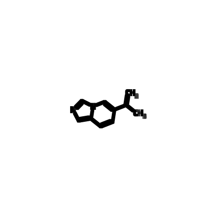 C=C(C)c1ccc2cncn2c1